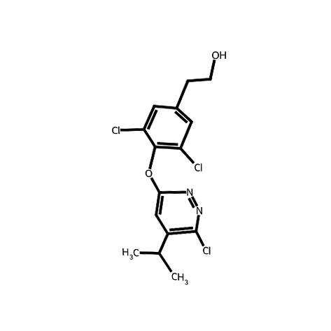 CC(C)c1cc(Oc2c(Cl)cc(CCO)cc2Cl)nnc1Cl